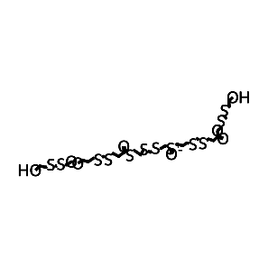 O=C(CCSCSCCC[S+]([O-])CCSCSCCSC(=O)CCSCSCCCOOCSCSCCO)OCSCSCCO